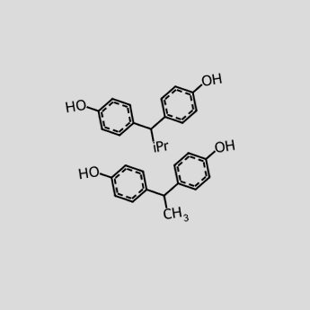 CC(C)C(c1ccc(O)cc1)c1ccc(O)cc1.CC(c1ccc(O)cc1)c1ccc(O)cc1